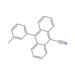 Cc1cccc(-c2c3ccccc3c(C#N)c3ccccc23)c1